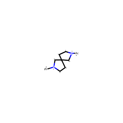 CC(=O)N1CCC2(CCN(C(C)C)C2)C1